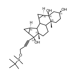 CC(C)(C)[Si](C)(C)OCC#C[C@]1(O)C2C[C@H]2C2C3C4C[C@H]4[C@]4(O)C[C@@H](O)CC[C@]4(C)C3CC[C@@]21C